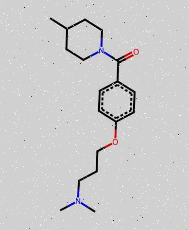 CC1CCN(C(=O)c2ccc(OCCCN(C)C)cc2)CC1